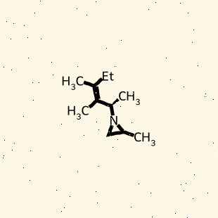 CC/C(C)=C(/C)[C@@H](C)N1CC1C